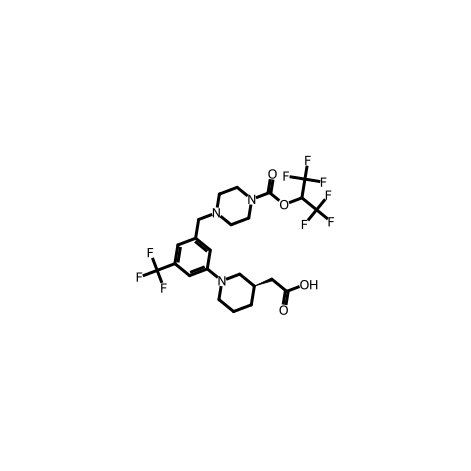 O=C(O)C[C@H]1CCCN(c2cc(CN3CCN(C(=O)OC(C(F)(F)F)C(F)(F)F)CC3)cc(C(F)(F)F)c2)C1